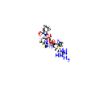 N=C(N)NCCCC(NC(=O)C1CSC2CCC(N3C(=O)c4ccccc4C3=O)C(=O)N21)C(=O)c1nccs1